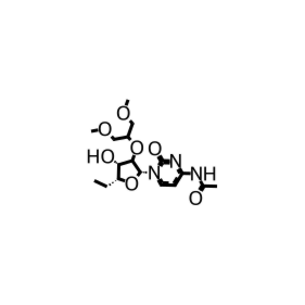 CC[C@H]1O[C@@H](n2ccc(NC(C)=O)nc2=O)C(OC(COC)COC)[C@H]1O